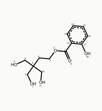 O=C(OCCC(CO)(CO)CO)c1ccccc1O